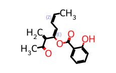 C=C(C(C)=O)/C(=C\C=C/C)OC(=O)c1ccccc1O